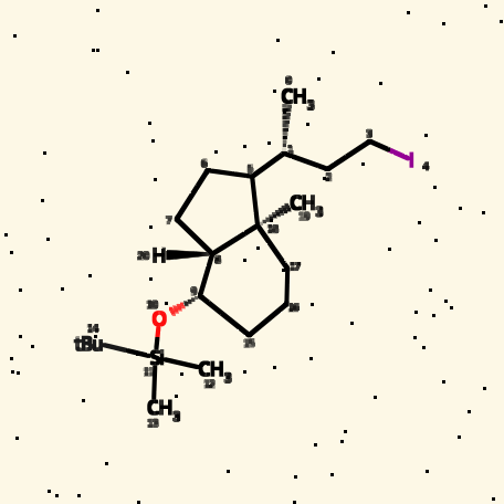 C[C@H](CCI)C1CC[C@H]2[C@@H](O[Si](C)(C)C(C)(C)C)CCC[C@]12C